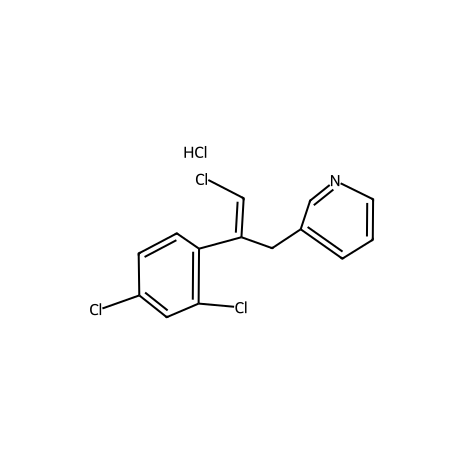 Cl.ClC=C(Cc1cccnc1)c1ccc(Cl)cc1Cl